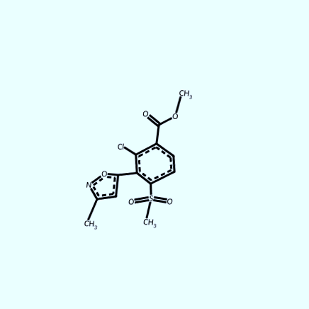 COC(=O)c1ccc(S(C)(=O)=O)c(-c2cc(C)no2)c1Cl